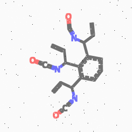 C=CC(N=C=O)c1cccc(C(C=C)N=C=O)c1C(C=C)N=C=O